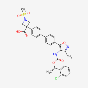 Cc1noc(-c2ccc(-c3ccc(C4(C(=O)O)CN(S(C)(=O)=O)C4)cc3)cc2)c1NC(=O)O[C@H](C)c1ccccc1Cl